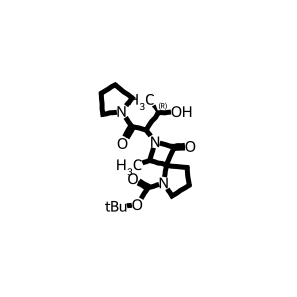 CC1N(C(C(=O)N2CCCC2)[C@@H](C)O)C(=O)C12CCCN2C(=O)OC(C)(C)C